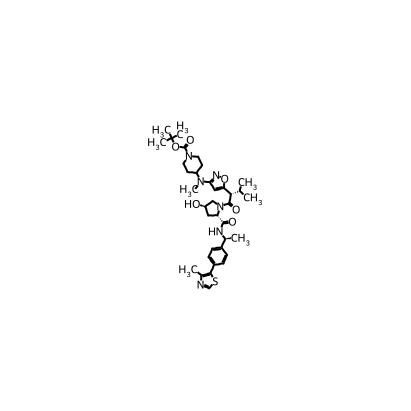 Cc1ncsc1-c1ccc([C@H](C)NC(=O)[C@@H]2C[C@@H](O)CN2C(=O)[C@H](c2cc(N(C)C3CCN(C(=O)OC(C)(C)C)CC3)no2)C(C)C)cc1